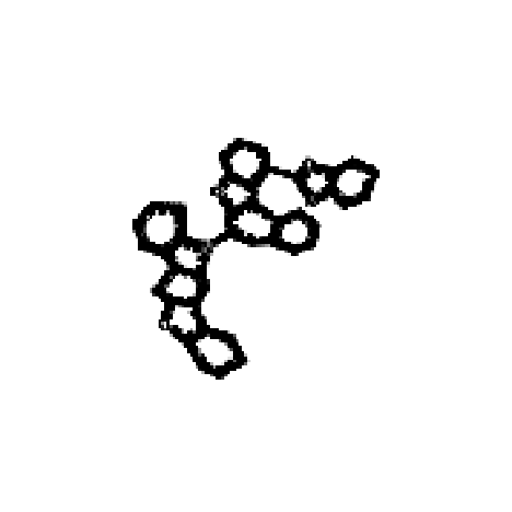 c1ccc2c(c1)cc(-n1c3ccccc3c3cc4oc5ccccc5c4cc31)c1oc3cccc(-c4nc5ccccc5o4)c3c12